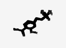 COC(=O)c1ccc(CCS(C)(=O)=O)cc1NC(C)=O